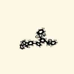 CC1(C)c2cc(-c3cccc(-c4cc(-c5nc6ccccc6o5)cc(-c5nc6ccccc6o5)c4)c3)ccc2-c2ccc3sc4ccccc4c3c21